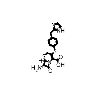 N[C@@H]1C(=O)N2C(C(=O)O)=C(Sc3ccc(Cc4ncc[nH]4)cc3)CS[C@H]12